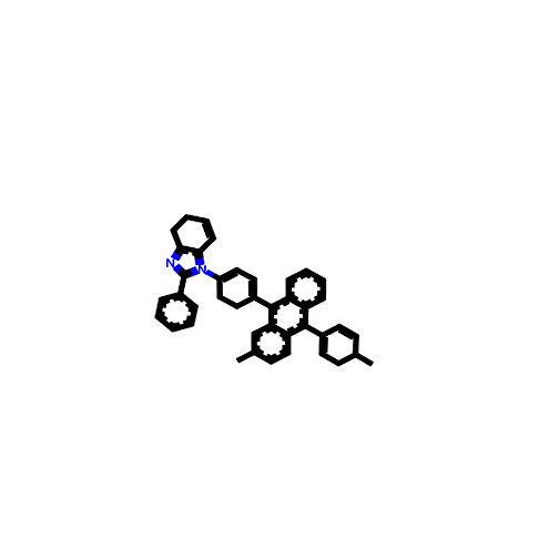 Cc1ccc2c(C3=CCC(C)C=C3)c3ccccc3c(C3=CC=C(n4c(-c5ccccc5)nc5c4C=CCC5)CC3)c2c1